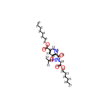 CCCCCCCCOC(=O)c1cnc(C(=O)NCC(=O)OCCCCCC)c(OC(C)C)c1